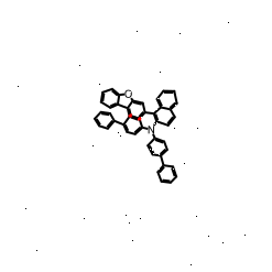 c1ccc(-c2ccc(N(c3ccc(-c4ccccc4)cc3)c3ccc4ccccc4c3-c3ccc4c(c3)oc3ccccc34)cc2)cc1